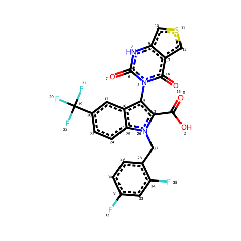 O=C(O)c1c(-n2c(=O)[nH]c3cscc3c2=O)c2cc(C(F)(F)F)ccc2n1Cc1ccc(F)cc1F